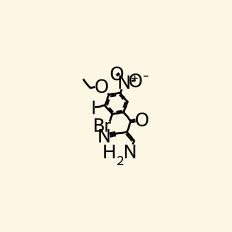 CCOc1c([N+](=O)[O-])cc(C(=O)C(C#N)=CN)c(Br)c1I